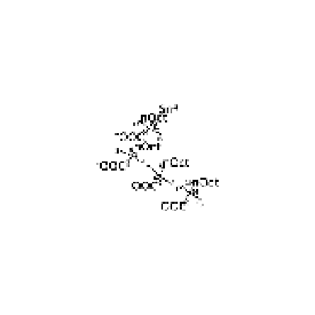 CCCCCCCCC(C)(C)C(=O)[O-].CCCCCCCCC(C)(C)C(=O)[O-].CCCCCCCCC(C)(C)C(=O)[O-].CCCCCCCCC(C)(C)C(=O)[O-].[Sn+4]